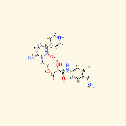 CC(OCCN(C=O)C(=N)/C=C\Nc1ccncc1)C(O)C(=O)Nc1ccc(CN)c(F)c1